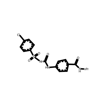 CCCNC(=O)c1ccc(NC(=O)NS(=O)(=O)c2ccc(Cl)cc2)cc1